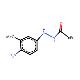 CCCC(=O)NNc1ccc(N)c(OC)c1